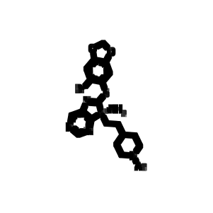 CC(=O)N1CCC(CC[N+]2(N)C(Sc3cc4c(cc3Br)OCO4)=Nc3cncnc32)CC1